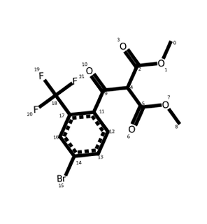 COC(=O)C(C(=O)OC)C(=O)c1ccc(Br)cc1C(F)(F)F